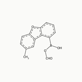 Cc1ccc2oc3cccc(B(O)OC=O)c3c2c1